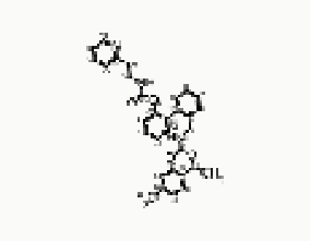 CC(OC(=O)NCc1ccccc1-c1ccccc1OC(=O)NCCc1ccccn1)c1ccc(C(F)(F)F)cc1